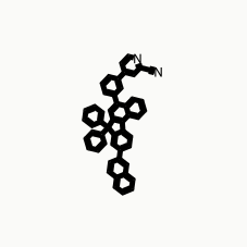 N#Cc1cc(-c2cccc(-c3cc4c(c5ccccc35)-c3ccc(-c5ccc6ccccc6c5)cc3C4(c3ccccc3)c3ccccc3)c2)ccn1